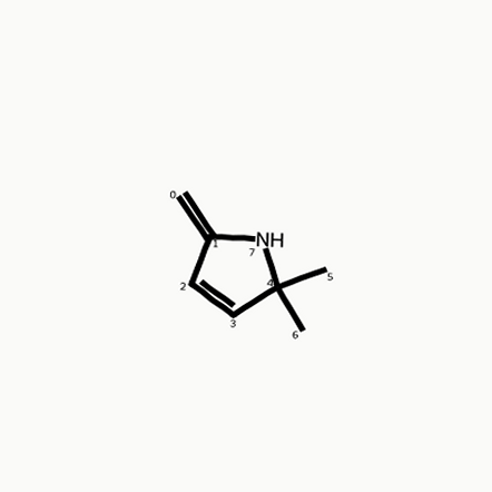 C=C1C=CC(C)(C)N1